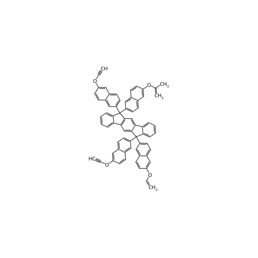 C#COc1ccc2cc(C3(c4ccc5cc(OC=C)ccc5c4)c4ccccc4-c4cc5c(cc43)-c3ccccc3C5(c3ccc4cc(OC#C)ccc4c3)c3ccc4cc(OC(=C)C)ccc4c3)ccc2c1